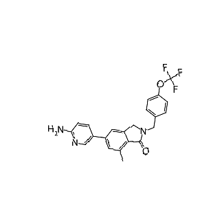 Cc1cc(-c2ccc(N)nc2)cc2c1C(=O)N(Cc1ccc(OC(F)(F)F)cc1)C2